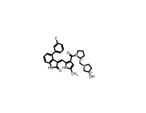 Cc1cc(C(=O)N2CCC[C@H]2CN2CC[C@@H](O)C2)c(/C=C2\C(=O)Nc3cccc(-c4cccc(F)c4)c32)[nH]1